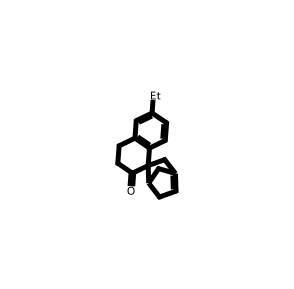 CCc1ccc2c(c1)CCC(=O)C21CC2=CCC1C2